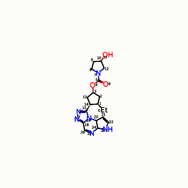 CC[C@@H]1C[C@H](OC(=O)N2CC[C@@H](O)C2)C[C@@H]1c1nnc2n1C1C=CNC1N=C2